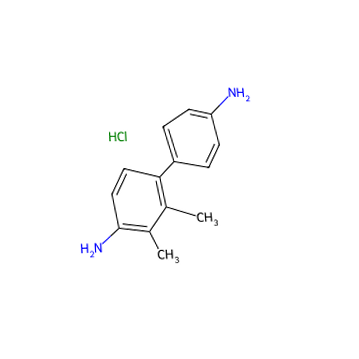 Cc1c(N)ccc(-c2ccc(N)cc2)c1C.Cl